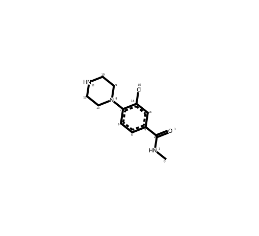 CNC(=O)c1ccc(N2CCNCC2)c(Cl)c1